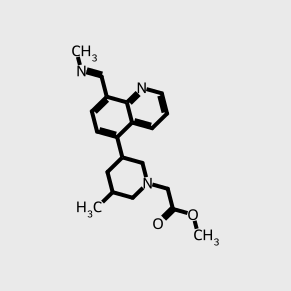 C/N=C/c1ccc(C2CC(C)CN(CC(=O)OC)C2)c2cccnc12